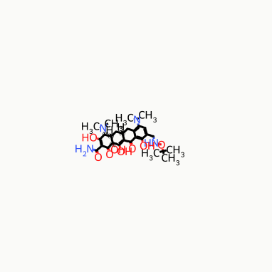 CN(C)c1cc(CNOC(C)(C)C)c(O)c2c1C[C@H]1C[C@H]3[C@@H](N(C)C)C(O)=C(C(N)=O)C(=O)[C@@]3(O)C(O)=C1C2=O